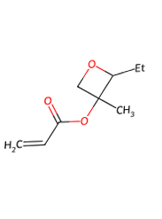 C=CC(=O)OC1(C)COC1CC